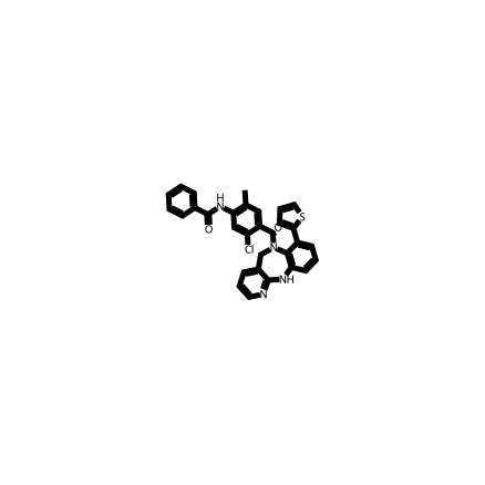 Cc1cc(C(=O)N2Cc3cccnc3Nc3cccc(-c4cccs4)c32)c(Cl)cc1NC(=O)c1ccccc1